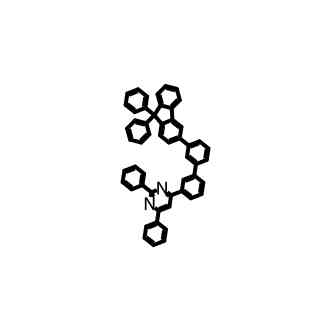 c1ccc(-c2cc(-c3cccc(-c4cccc(-c5ccc6c(c5)-c5ccccc5C6(c5ccccc5)c5ccccc5)c4)c3)nc(-c3ccccc3)n2)cc1